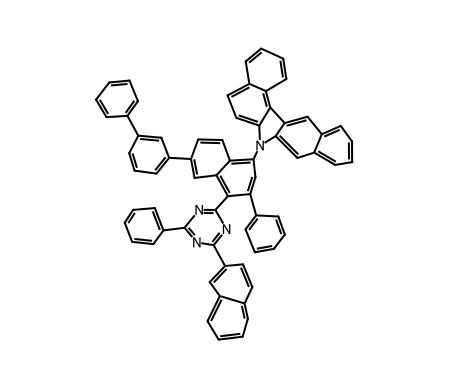 c1ccc(-c2cccc(-c3ccc4c(-n5c6cc7ccccc7cc6c6c7ccccc7ccc65)cc(-c5ccccc5)c(-c5nc(-c6ccccc6)nc(-c6ccc7ccccc7c6)n5)c4c3)c2)cc1